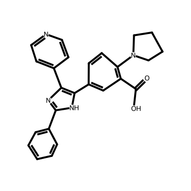 O=C(O)c1cc(-c2[nH]c(-c3ccccc3)nc2-c2ccncc2)ccc1N1CCCC1